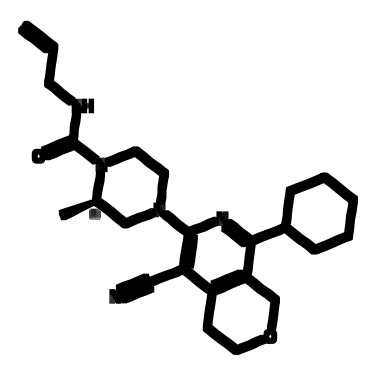 C=CCNC(=O)N1CCN(c2nc(C3CCCCC3)c3c(c2C#N)CCOC3)C[C@H]1C